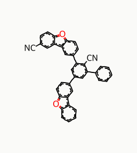 N#Cc1ccc2oc3ccc(-c4cc(-c5ccc6oc7ccccc7c6c5)cc(-c5ccccc5)c4C#N)cc3c2c1